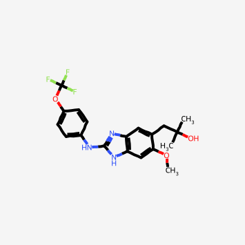 COc1cc2[nH]c(Nc3ccc(OC(F)(F)F)cc3)nc2cc1CC(C)(C)O